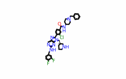 O=C(NC1CCN(Cc2ccccc2)CC1)c1ccc(-c2nc3cnc(NCc4ccc(F)c(F)c4)nc3n2C[C@@H]2CCCNC2)c(Cl)c1